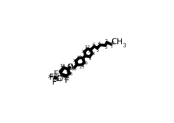 CCCCCCCC1CCC(C2CCC(COc3ccc(OC(F)(F)F)c(F)c3)CC2)CC1